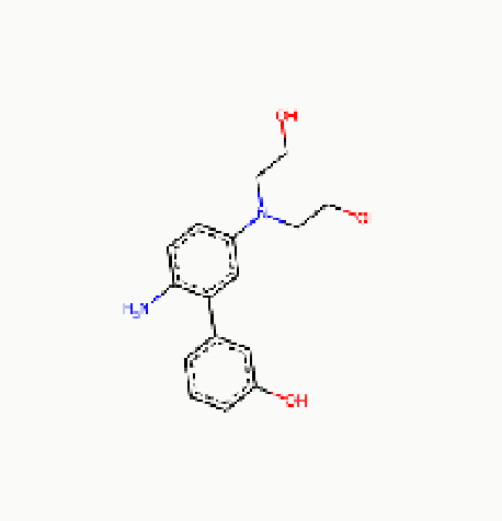 Nc1ccc(N(CCO)CCO)cc1-c1cccc(O)c1